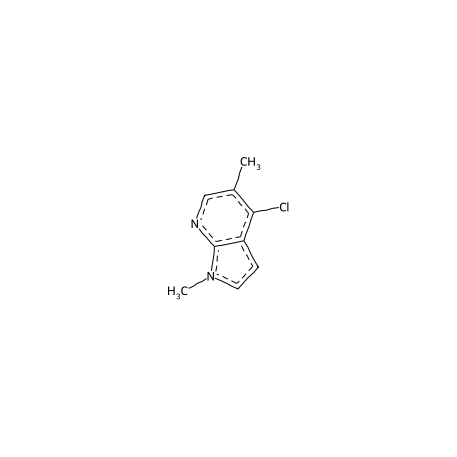 Cc1cnc2c(ccn2C)c1Cl